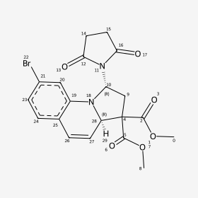 COC(=O)C1(C(=O)OC)C[C@@H](N2C(=O)CCC2=O)N2c3cc(Br)ccc3C=C[C@@H]21